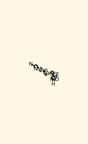 C[C@@H](CC(=O)N1CCN(c2ccc(C#N)cn2)CC1)OC[C@@H]1CCCN1c1cn[nH]c(=O)c1C(F)(F)F